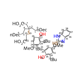 CCCCCCCCCCCCC(CCCCCCCCCCCC)(CC(=O)O)SCCC(=O)O.COc1cc(C(C)(C)C)c(O)c(C(C)(C)C)c1.COc1ccc(O)c(C(C)(C)C)c1.Sc1nc2ccccc2[nH]1